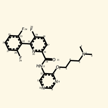 CN(C)CCCOc1ncncc1NC(=O)c1ccc(F)c(-c2c(F)cccc2F)n1